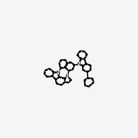 c1ccc(-c2ccc3c4ccccc4n(-c4cccc(-n5ccc6ccc7c8ccccc8n(-c8ccccc8)c7c65)c4)c3c2)cc1